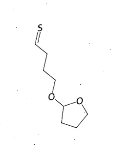 S=CCCCOC1CCCO1